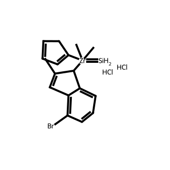 CC1=Cc2c(Br)cccc2[CH]1[Zr]([CH3])([CH3])(=[SiH2])[C]1=CC=CC1.Cl.Cl